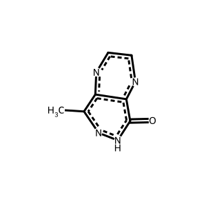 Cc1n[nH]c(=O)c2nccnc12